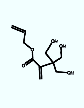 C=CCOC(=O)C(=C)C(CO)(CO)CO